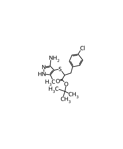 Cc1[nH]nc(N)c1SC(Cc1ccc(Cl)cc1)C(=O)OC(C)(C)C